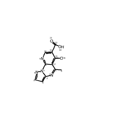 Cc1nc2ccnn2c2ncc(C(=O)O)c(Cl)c12